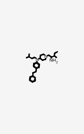 CCC(C)C(N)CN1CCC(N(CCC(C)C)c2ccc(CCc3ccccc3)cc2)CC1